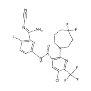 N#CN=C(N)c1cc(NC(=O)c2cc(Cl)c(C(F)(F)F)nc2N2CCCC(F)(F)CC2)ccc1F